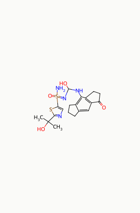 CC(C)(O)c1ncc(S(N)(=O)=NC(O)Nc2c3c(cc4c2CCC4=O)CCC3)s1